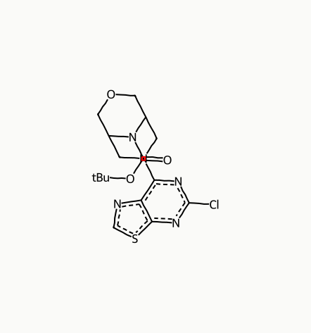 CC(C)(C)OC(=O)N1C2COCC1CN(c1nc(Cl)nc3scnc13)C2